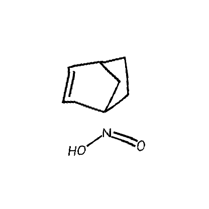 C1=CC2CCC1C2.O=NO